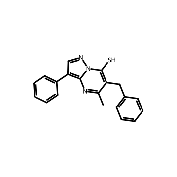 Cc1nc2c(-c3ccccc3)cnn2c(S)c1Cc1ccccc1